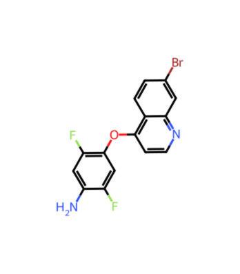 Nc1cc(F)c(Oc2ccnc3cc(Br)ccc23)cc1F